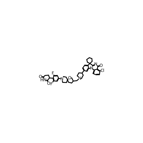 O=C1CCC(c2c(F)cc(N3CCC4(CCC(CN5CCC(c6ccc7c(c6)-n6c(nc(=O)c8c(Cl)cccc86)C76CCCCC6)CC5)CO4)CC3)cc2F)C(=O)N1